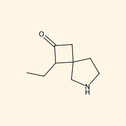 CCC1C(=O)CC12CCNC2